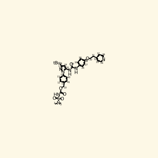 CN(C)S(=O)(=O)NC(=O)OCc1ccc(-n2nc(C(C)(C)C)cc2NC(=O)Nc2ccc(OCCc3ccncc3)cc2)cc1